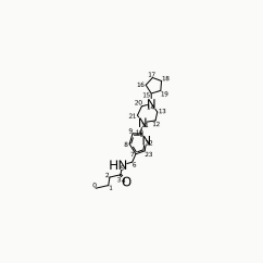 CCCC(=O)NCc1ccc(N2CCN(C3CCCC3)CC2)nc1